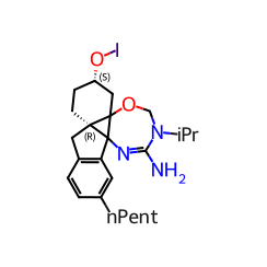 CCCCCc1ccc2c(c1)C13N=C(N)N(C(C)C)COC14C[C@@H](OI)CC[C@]43C2